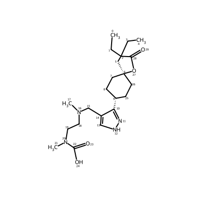 CCC1(CC)C[C@]2(CC[C@@H](c3n[nH]cc3CN(C)CCN(C)C(=O)O)CC2)OC1=O